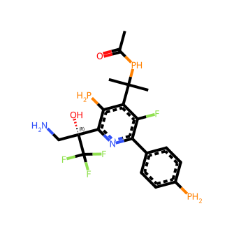 CC(=O)PC(C)(C)c1c(F)c(-c2ccc(P)cc2)nc([C@](O)(CN)C(F)(F)F)c1P